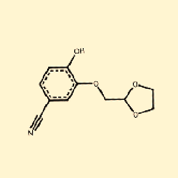 N#Cc1ccc(O)c(OCC2OCCO2)c1